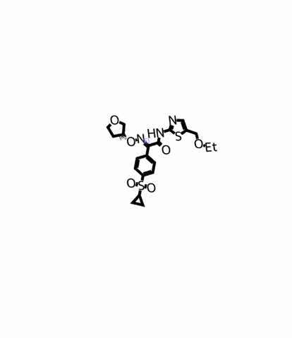 CCOCc1cnc(NC(=O)/C(=N/O[C@@H]2CCOC2)c2ccc(S(=O)(=O)C3CC3)cc2)s1